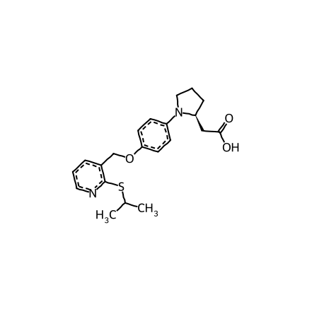 CC(C)Sc1ncccc1COc1ccc(N2CCC[C@H]2CC(=O)O)cc1